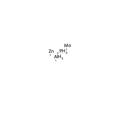 P.[AlH3].[Mo].[Zn]